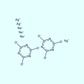 [Ag+].[Ag+].[Ag+].[Na+].[Na+].[Na+].[O-]c1nc([O-])nc([O-])n1.[O-]c1nc([O-])nc([O-])n1